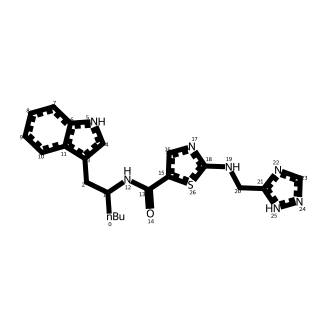 CCCCC(Cc1c[nH]c2ccccc12)NC(=O)c1cnc(NCc2ncn[nH]2)s1